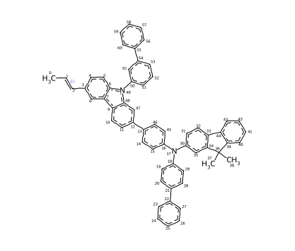 C/C=C/c1ccc2c(c1)c1ccc(-c3ccc(N(c4ccc(-c5ccccc5)cc4)c4ccc5c(c4)C(C)(C)c4ccccc4-5)cc3)cc1n2-c1cccc(-c2ccccc2)c1